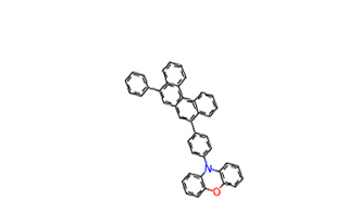 c1ccc(-c2cc3cc(-c4ccc(N5c6ccccc6Oc6ccccc65)cc4)c4ccccc4c3c3ccccc23)cc1